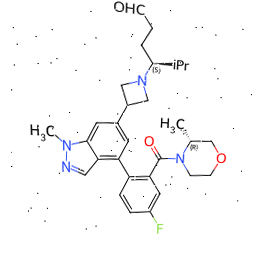 CC(C)[C@H](CCC=O)N1CC(c2cc(-c3ccc(F)cc3C(=O)N3CCOC[C@H]3C)c3cnn(C)c3c2)C1